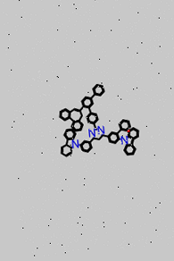 C1=CC2c3ccccc3N(c3cccc(C4CC(c5ccc(-n6c7ccccc7c7ccccc76)c(-c6ccccc6)c5)=NC(c5ccc(-c6cc(-c7ccccc7)ccc6C6=Cc7ccccc7-c7ccccc7C6)cc5)=N4)c3)C2C=C1